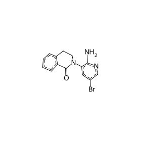 Nc1ncc(Br)cc1N1CCc2ccccc2C1=O